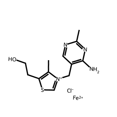 Cc1ncc(C[n+]2csc(CCO)c2C)c(N)n1.[Cl-].[Fe+2]